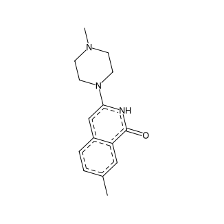 Cc1ccc2cc(N3CCN(C)CC3)[nH]c(=O)c2c1